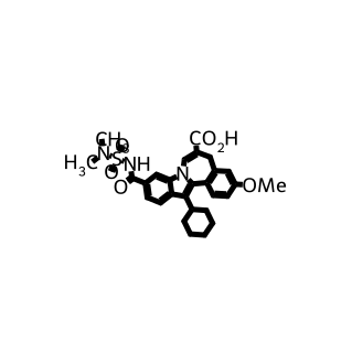 COc1ccc2c(c1)CC(C(=O)O)=Cn1c-2c(C2CCCCC2)c2ccc(C(=O)NS(=O)(=O)N(C)C)cc21